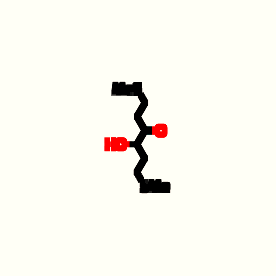 CSCCC(=O)C(O)CCSC